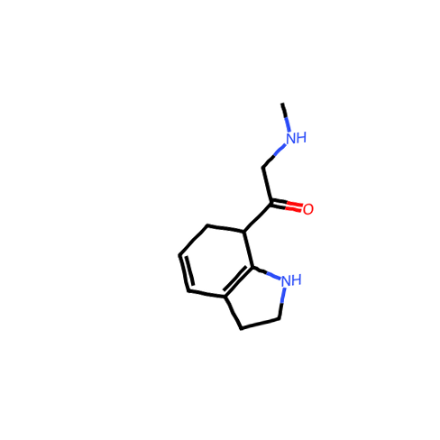 CNCC(=O)C1CC=CC2=C1NCC2